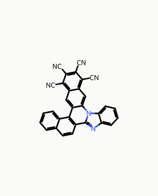 N#Cc1c(C#N)c(C#N)c2cc3c(cc2c1C#N)c1c2ccccc2ccc1c1nc2ccccc2n31